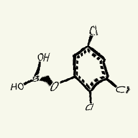 OB(O)Oc1cc(Cl)cc(Cl)c1Cl